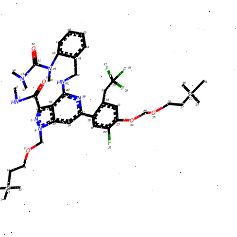 CNC(=O)c1nn(COCC[Si](C)(C)C)c2cc(-c3cc(F)c(OCOCC[Si](C)(C)C)cc3CC(F)(F)F)nc(NCc3ccccc3N(C)C(=O)N(C)C)c12